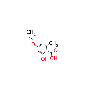 C=CCOc1cc(C)c(C(=O)O)c(O)c1